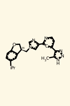 Cc1[nH]nnc1-c1ccnc(-c2cn(C[C@@H]3COc4ccc(C(C)C)cc43)cn2)c1